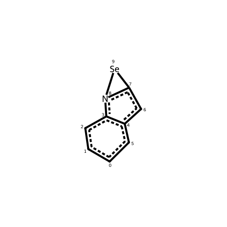 c1ccc2c(c1)cc1n2[Se]1